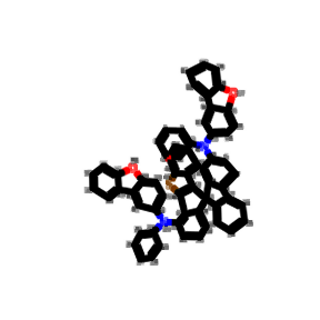 c1ccc(N(c2ccc3c(c2)C2(c4ccccc4-3)c3cccc(N(c4ccccc4)c4ccc5oc6ccccc6c5c4)c3-c3sc4ccccc4c32)c2ccc3oc4ccccc4c3c2)cc1